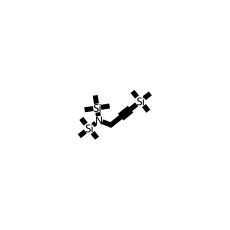 C[Si](C)(C)C#CCN([Si](C)(C)C)[Si](C)(C)C